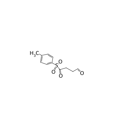 Cc1ccc(S(=O)(=O)C(=O)CCC=O)cc1